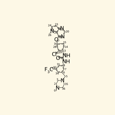 CN1CCN(Cc2cc(NC(=O)Nc3ccc(Oc4ncnc5ccn(C)c45)cc3Cl)cc(C(F)(F)F)c2)CC1